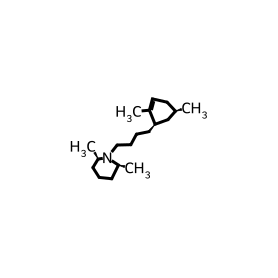 CC1=CC[C@@H](C)C[C@H]1CCCCN1[C@H](C)CCC[C@@H]1C